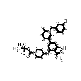 CC(C)(C)OC(=O)N1CCC(NC2CC(C3=CN(CC4=CC=CC(Cl)C4)C(=O)CC3)=Cc3[nH]nc(N)c32)CC1